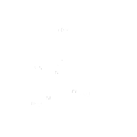 CCCCCCCCCCCCSCC(NC(C)=O)C(=O)N(CCCNC(=O)O)CCCNC(=O)O